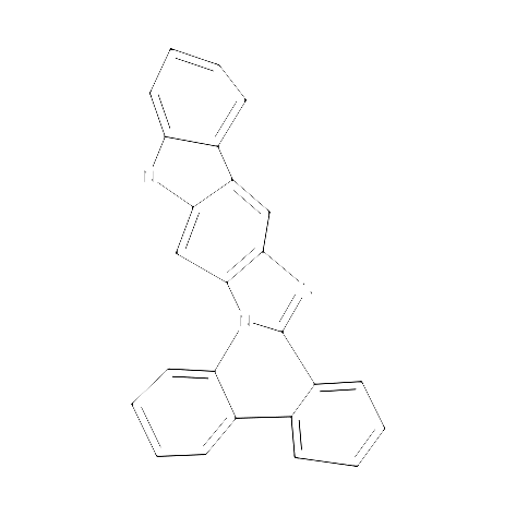 c1ccc2c(c1)[nH]c1cc3c(cc12)nc1c2ccccc2c2ccccc2n31